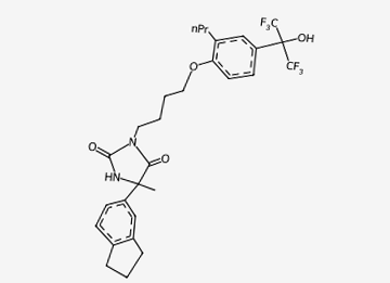 CCCc1cc(C(O)(C(F)(F)F)C(F)(F)F)ccc1OCCCCN1C(=O)NC(C)(c2ccc3c(c2)CCC3)C1=O